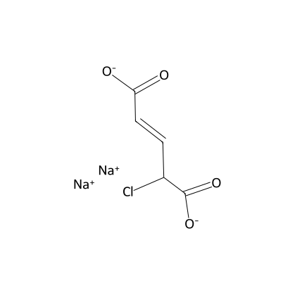 O=C([O-])C=CC(Cl)C(=O)[O-].[Na+].[Na+]